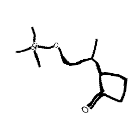 CC(CO[Si](C)(C)C)C1CCC1=O